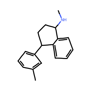 CNC1CCC(c2cccc(C)c2)c2ccccc21